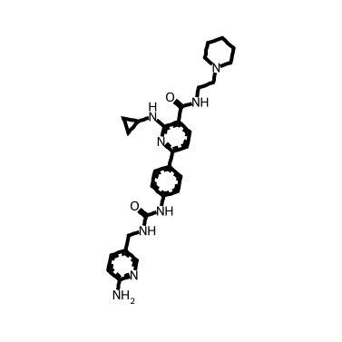 Nc1ccc(CNC(=O)Nc2ccc(-c3ccc(C(=O)NCCN4CCCCC4)c(NC4CC4)n3)cc2)cn1